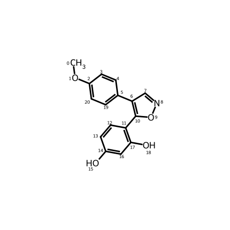 COc1ccc(-c2cnoc2-c2ccc(O)cc2O)cc1